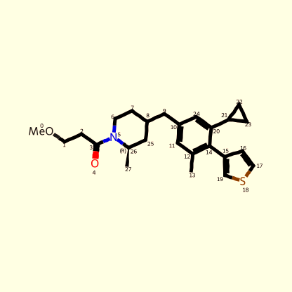 COCCC(=O)N1CCC(Cc2cc(C)c(-c3ccsc3)c(C3CC3)c2)C[C@H]1C